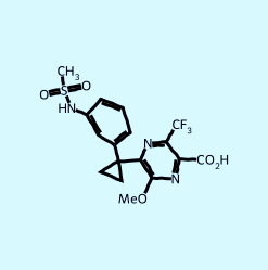 COc1nc(C(=O)O)c(C(F)(F)F)nc1C1(c2cccc(NS(C)(=O)=O)c2)CC1